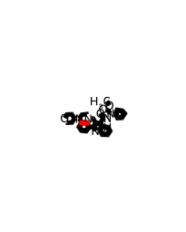 COC(=O)N(NC(=O)c1c(CN2CCN(C3CCOCC3)CC2)c(-c2ccccc2)nc2ccccc12)c1ccccc1